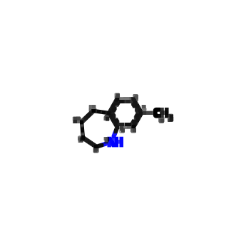 Cc1ccc2c(c1)NCCCC2